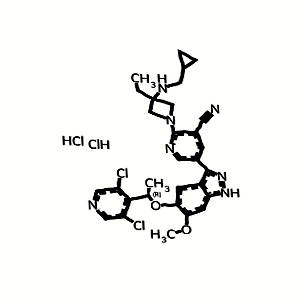 CCC1(NCC2CC2)CN(c2ncc(-c3n[nH]c4cc(OC)c(O[C@H](C)c5c(Cl)cncc5Cl)cc34)cc2C#N)C1.Cl.Cl